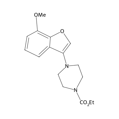 CCOC(=O)N1CCN(c2coc3c(OC)cccc23)CC1